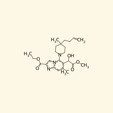 C=CCCC1(C)CCN(c2c(C(O)C(=O)OC)c(C)cc3nc(C(=O)OCC)cn23)CC1